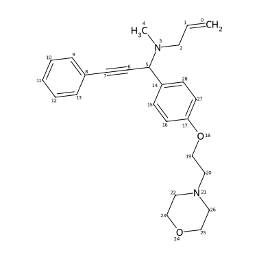 C=CCN(C)C(C#Cc1ccccc1)c1ccc(OCCN2CCOCC2)cc1